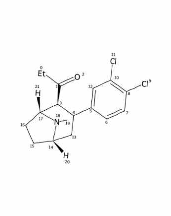 CCC(=O)[C@H]1C(c2ccc(Cl)c(Cl)c2)C[C@@H]2CC[C@H]1N2C